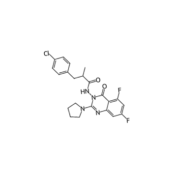 CC(Cc1ccc(Cl)cc1)C(=O)Nn1c(N2CCCC2)nc2cc(F)cc(F)c2c1=O